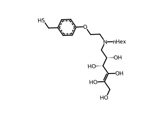 CCCCCCN(CCOc1ccc(CS)cc1)C[C@H](O)[C@@H](O)/C(O)=C(\O)CO